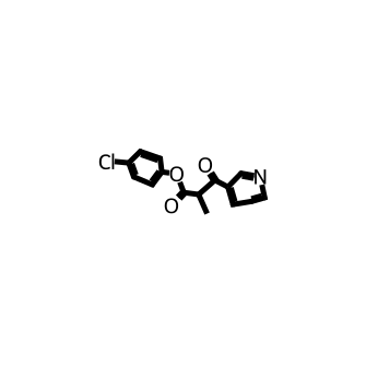 CC(C(=O)Oc1ccc(Cl)cc1)C(=O)c1cccnc1